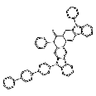 O=C1C2Cc3c(c4ccccc4n3-c3ccccc3)C=C2c2cc3c4ccccc4n(-c4ccc(-c5ccc(-c6ccccc6)cc5)cc4)c3cc2N1c1ccccc1